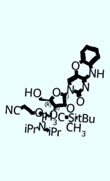 CC(C)N(C(C)C)P(OCCC#N)O[C@@H]1C(O[Si](C)(C)C(C)(C)C)[C@H](n2cc3c(nc2=O)Nc2ccccc2O3)O[C@@H]1CO